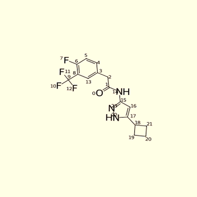 O=C(Cc1ccc(F)c(C(F)(F)F)c1)Nc1cc(C2CCC2)[nH]n1